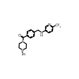 CC(C)N1CCN(C(=O)c2ccc(CNc3ccc(C(F)(F)F)nc3)cc2)CC1